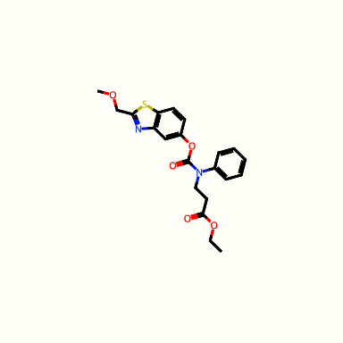 CCOC(=O)CCN(C(=O)Oc1ccc2sc(COC)nc2c1)c1ccccc1